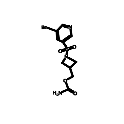 NC(=O)OCC1CN(S(=O)(=O)c2cncc(Br)c2)C1